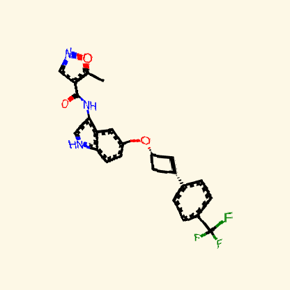 Cc1oncc1C(=O)Nc1c[nH]c2ccc(O[C@H]3C[C@@H](c4ccc(C(F)(F)F)cc4)C3)cc12